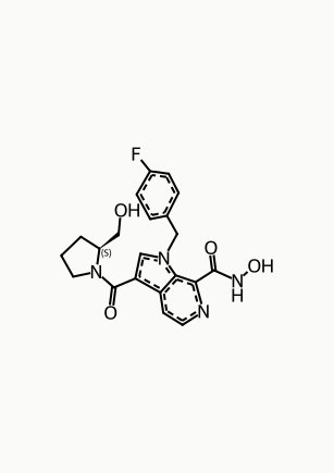 O=C(NO)c1nccc2c(C(=O)N3CCC[C@H]3CO)cn(Cc3ccc(F)cc3)c12